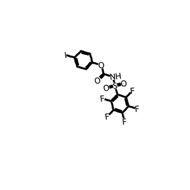 O=C(NS(=O)(=O)c1c(F)c(F)c(F)c(F)c1F)Oc1ccc(I)cc1